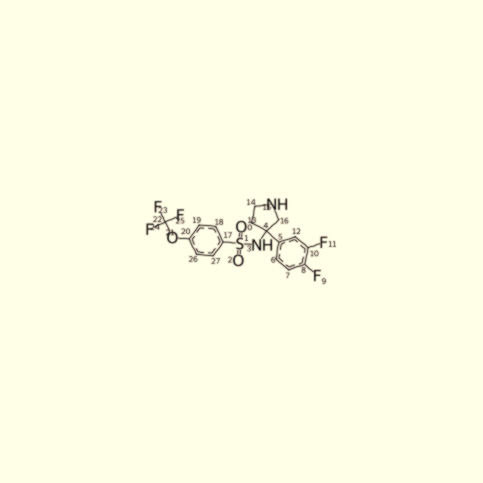 O=S(=O)(NC1(c2ccc(F)c(F)c2)CCNC1)c1ccc(OC(F)(F)F)cc1